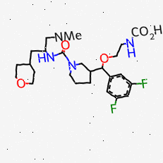 CNCC(CC1CCOCC1)NC(=O)N1CCCC(C(OCCNC(=O)O)c2cc(F)cc(F)c2)C1